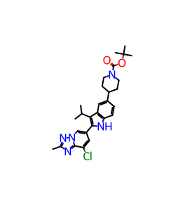 Cc1nc2c(Cl)cc(-c3[nH]c4ccc(C5CCN(C(=O)OC(C)(C)C)CC5)cc4c3C(C)C)cn2n1